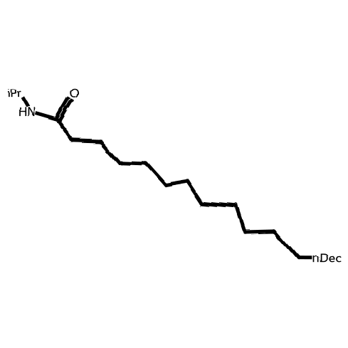 CCCCCCCCCCCCCCCCCCCCCC(=O)NC(C)C